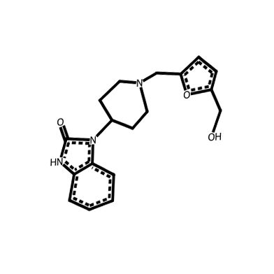 O=c1[nH]c2ccccc2n1C1CCN(Cc2ccc(CO)o2)CC1